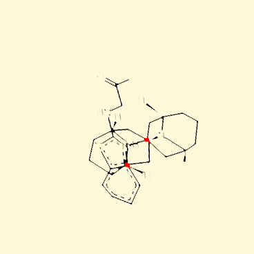 O=C(O)CNc1nc2ccccc2n1C1C[C@H]2CCC[C@@H](C1)N2[C@@H]1C[C@H]2CCC[C@@H](C1)N2